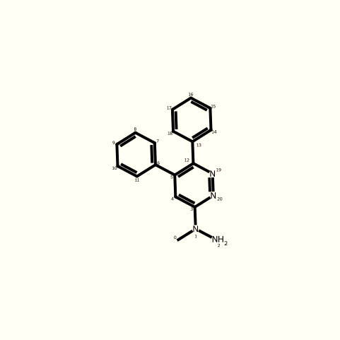 CN(N)c1cc(-c2ccccc2)c(-c2ccccc2)nn1